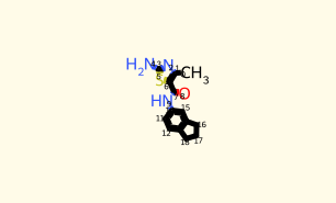 Cc1nc(N)sc1C(=O)Nc1ccc2c(c1)CCC2